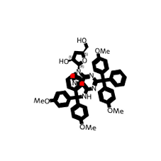 COc1ccc(C(Nc2nc(C(c3ccccc3)(c3ccc(OC)cc3)c3ccc(OC)cc3)nc3c2ncn3[C@@H]2O[C@H](CO)C[C@@H]2O)(c2ccccc2)c2ccc(OC)cc2)cc1